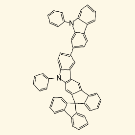 c1ccc(-n2c3ccccc3c3ccc(-c4ccc5c(c4)c4cc6c(cc4n5-c4ccccc4)C4(c5ccccc5-c5ccccc54)c4ccccc4-6)cc32)cc1